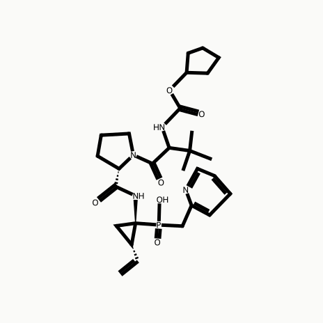 C=C[C@@H]1C[C@]1(NC(=O)[C@@H]1CCCN1C(=O)C(NC(=O)OC1CCCC1)C(C)(C)C)P(=O)(O)Cc1ccccn1